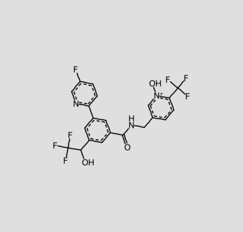 O=C(NCc1ccc(C(F)(F)F)[n+](O)c1)c1cc(-c2ccc(F)cn2)cc(C(O)C(F)(F)F)c1